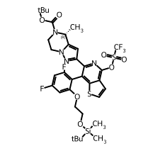 C[C@@H]1c2cc(-c3nc(OS(=O)(=O)C(F)(F)F)c4ccsc4c3-c3c(F)cc(F)cc3OCCO[Si](C)(C)C(C)(C)C)nn2CCN1C(=O)OC(C)(C)C